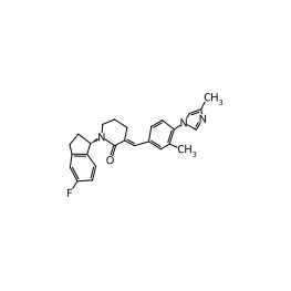 Cc1cn(-c2ccc(/C=C3\CCCN([C@@H]4CCc5cc(F)ccc54)C3=O)cc2C)cn1